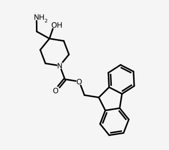 NCC1(O)CCN(C(=O)OCC2c3ccccc3-c3ccccc32)CC1